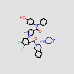 Cc1cc(C(=O)N(c2ccccc2)c2ccc(O)cc2)cn1-c1cc(F)c(F)cc1C(=O)N1Cc2ccccc2C[C@H]1CN1CCN(C)CC1